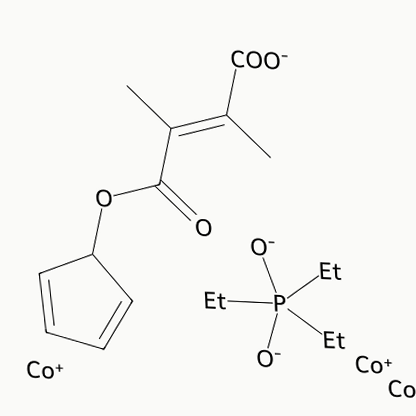 C/C(C(=O)[O-])=C(/C)C(=O)OC1C=CC=C1.CCP([O-])([O-])(CC)CC.[Co+].[Co+].[Co+]